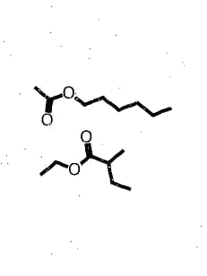 CCCCCCOC(C)=O.CCOC(=O)C(C)CC